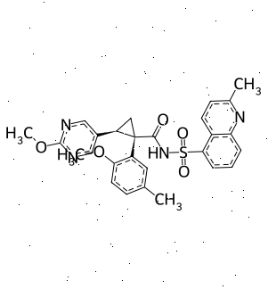 COc1ncc([C@H]2C[C@@]2(C(=O)NS(=O)(=O)c2cccc3nc(C)ccc23)c2cc(C)ccc2OC)cn1